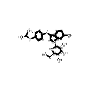 CC(C)Oc1ccc(Sc2cn([C@@H]3O[C@H](CO)[C@@H](O)[C@H](O)[C@H]3O)c3cc(O)ccc23)cc1